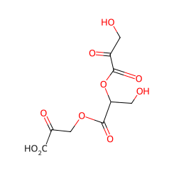 O=C(O)C(=O)COC(=O)C(CO)OC(=O)C(=O)CO